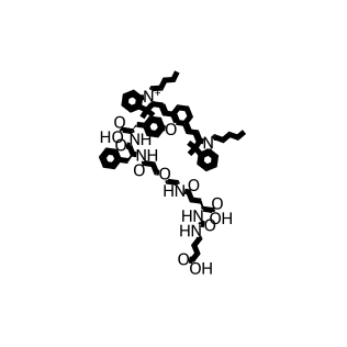 CCCCCN1/C(=C/C=C2\CCCC(/C=C/C3=[N+](CCCCC)c4ccccc4C3(C)C)=C2Oc2ccc(C[C@H](NC(=O)[C@H](Cc3ccccc3)NC(=O)CCOCCNC(=O)CC[C@H](NC(=O)NCCCC(=O)O)C(=O)O)C(=O)O)cc2)C(C)(C)c2ccccc21